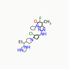 CCC(C1CCN(c2ccc(Nc3ncc4c(C)c(F)c(=O)n(C5CCCC5)c4n3)cc2Cl)CC1)C1CNCCN1